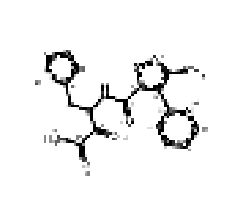 Cc1nsc(C(=O)NC(Cc2ccco2)C(=O)C(N)=O)c1-c1ccccn1